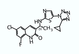 C[C@H](Nc1ncc(-n2nnnc2C2CC2)s1)c1cc2cc(Cl)cc(F)c2[nH]c1=O